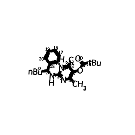 CCCCC(Nc1nc(C)c(OC(=O)C(C)(C)C)c(C)n1)c1ccccc1